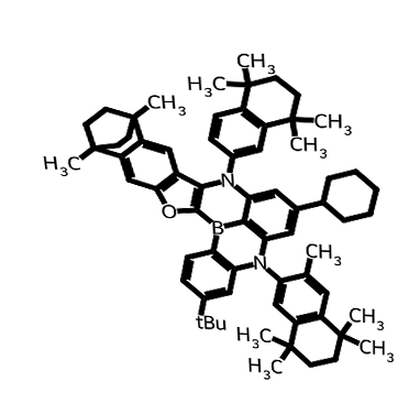 Cc1cc2c(cc1N1c3cc(C(C)(C)C)ccc3B3c4oc5cc6c(cc5c4N(c4ccc5c(c4)C(C)(C)CCC5(C)C)c4cc(C5CCCCC5)cc1c43)C1(C)CCC6(C)CC1)C(C)(C)CCC2(C)C